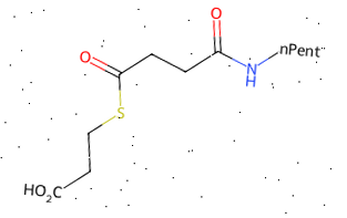 CCCCCNC(=O)CCC(=O)SCCC(=O)O